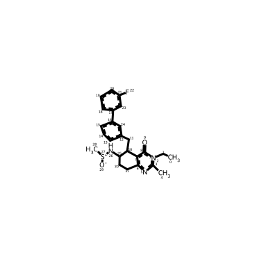 CCn1c(C)nc2c(c1=O)C(Cc1cccc(-c3cccc(F)c3)c1)C(N[S+](C)[O-])CC2